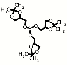 CC1(C)OCC(COP(OCC2COC(C)(C)O2)OCC2COC(C)(C)O2)O1